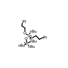 CCC[CH2][Sn]([CH2]CCC)([CH2]CCC)[O][Sn]([CH2]CCC)([O]CCC(C)C)[O]CCC(C)C